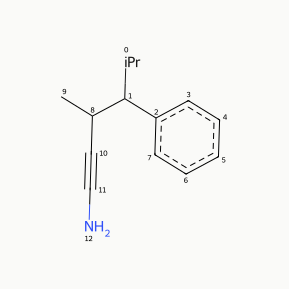 CC(C)C(c1ccccc1)C(C)C#CN